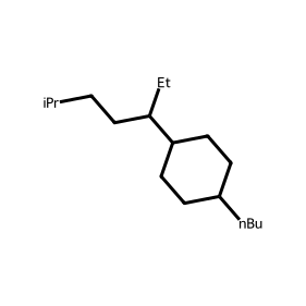 CCCCC1CCC(C(CC)CCC(C)C)CC1